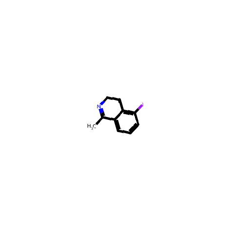 CC1=NCCc2c(I)cccc21